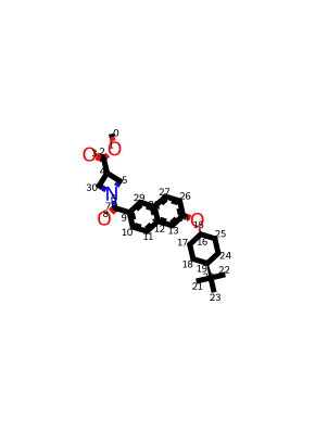 COC(=O)C1CN(C(=O)c2ccc3cc(O[C@H]4CC[C@H](C(C)(C)C)CC4)ccc3c2)C1